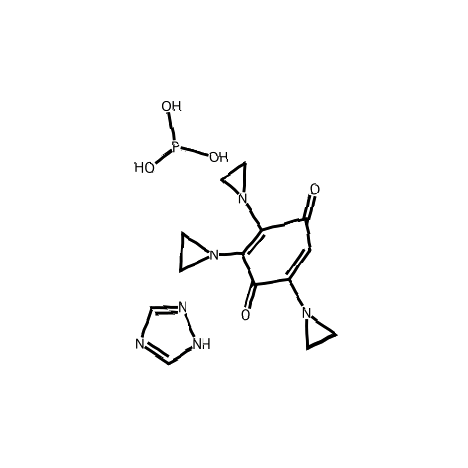 O=C1C=C(N2CC2)C(=O)C(N2CC2)=C1N1CC1.OP(O)O.c1nc[nH]n1